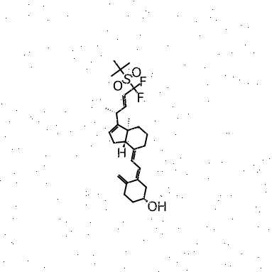 C=C1CC[C@H](O)C/C1=C/C=C1\CCC[C@]2(C)C([C@H](C)/C=C/C(F)(F)S(=O)(=O)C(C)(C)C)=CC[C@@H]12